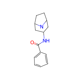 CN1C2CCC1CC(NC(=O)c1ccccc1)C2